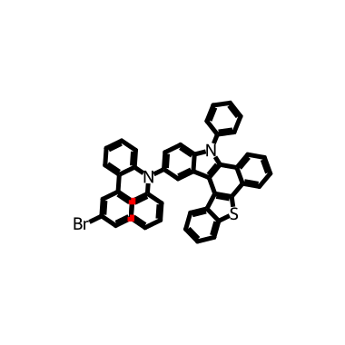 Brc1cccc(-c2ccccc2N(c2ccccc2)c2ccc3c(c2)c2c4c5ccccc5sc4c4ccccc4c2n3-c2ccccc2)c1